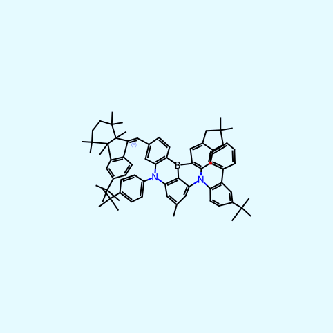 Cc1cc2c3c(c1)N(c1ccc(C(C)(C)C)cc1-c1ccccc1)c1cc4c(cc1B3c1ccc(/C=C3\c5ccc(C(C)(C)C)cc5C5(C)C(C)(C)CCC(C)(C)C35C)cc1N2c1ccc(C(C)(C)C)cc1)CC(C)(C)C4